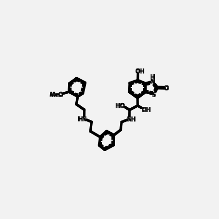 COc1ccccc1CCNCCc1cccc(CCNC(O)C(O)c2ccc(O)c3[nH]c(=O)sc23)c1